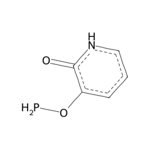 O=c1[nH]cccc1OP